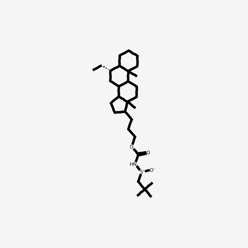 CC[C@H]1CC2C3CCC(CCCOC(=O)N[S+]([O-])CC(C)(C)C)C3(C)CCC2C2(C)CCCCC12